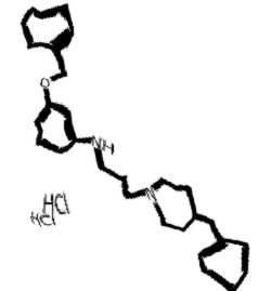 Cl.Cl.c1ccc(COc2cccc(NCCCN3CCC(Cc4ccccc4)CC3)c2)cc1